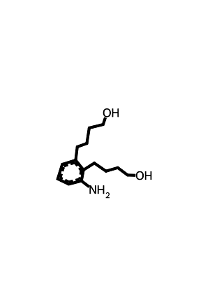 Nc1cccc(CCCCO)c1CCCCO